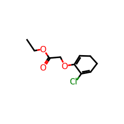 CCOC(=O)COC1=CCCC=C1Cl